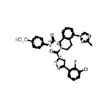 Cc1ncn(-c2cccc3c2CCN(C(=O)[C@H]2CC(c4cccc(Cl)c4F)=NO2)[C@@H]3C(=O)Nc2ccc(C(=O)O)cc2)n1